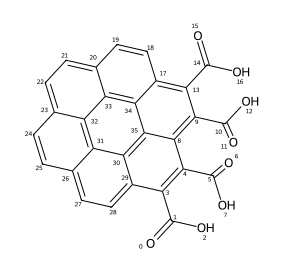 O=C(O)c1c(C(=O)O)c2c(C(=O)O)c(C(=O)O)c3ccc4ccc5ccc6ccc1c1c6c5c4c3c21